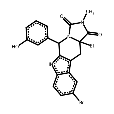 CCC12Cc3c([nH]c4ccc(Br)cc34)C(c3cccc(O)c3)N1C(=O)N(C)C2=O